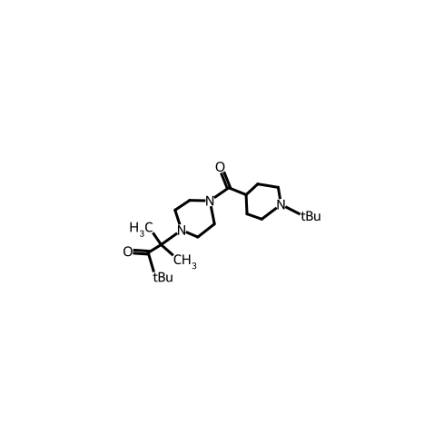 CC(C)(C)C(=O)C(C)(C)N1CCN(C(=O)C2CCN(C(C)(C)C)CC2)CC1